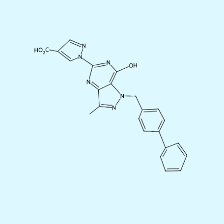 Cc1nn(Cc2ccc(-c3ccccc3)cc2)c2c(O)nc(-n3cc(C(=O)O)cn3)nc12